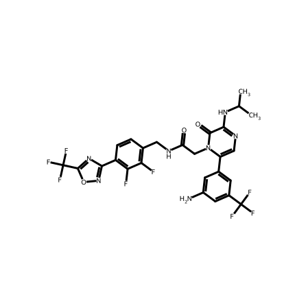 CC(C)Nc1ncc(-c2cc(N)cc(C(F)(F)F)c2)n(CC(=O)NCc2ccc(-c3noc(C(F)(F)F)n3)c(F)c2F)c1=O